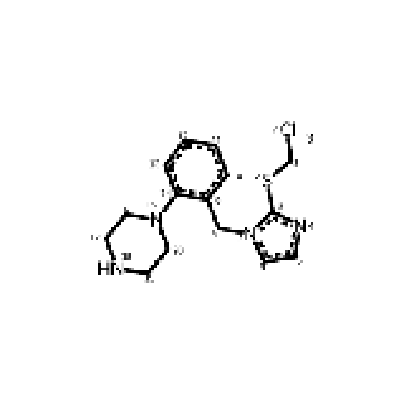 CCSc1nccn1Cc1ccccc1N1CCNCC1